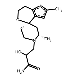 Cc1cc2c(s1)CCO[C@@]21CCN(CC(O)C(N)=O)[C@@H](C)C1